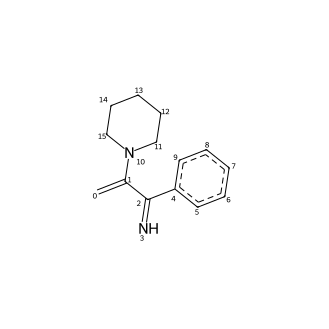 C=C(C(=N)c1ccccc1)N1CCCCC1